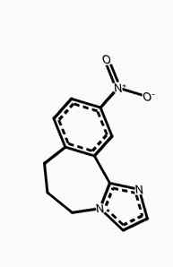 O=[N+]([O-])c1ccc2c(c1)-c1nccn1CCC2